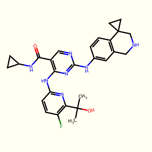 CC(C)(O)c1nc(Nc2nc(Nc3ccc4c(c3)CNCC43CC3)ncc2C(=O)NC2CC2)ccc1F